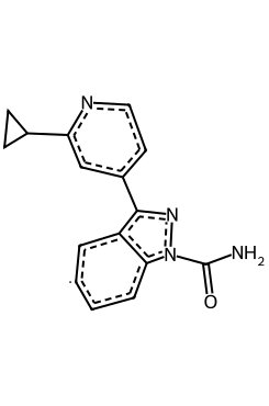 NC(=O)n1nc(-c2ccnc(C3CC3)c2)c2c[c]ccc21